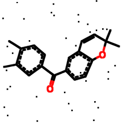 Cc1ccc(C(=O)c2ccc3c(c2)C=CC(C)(C)O3)cc1C